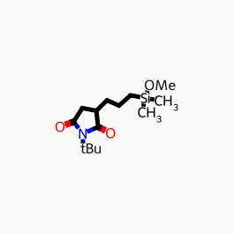 CO[Si](C)(C)CCCC1CC(=O)N(C(C)(C)C)C1=O